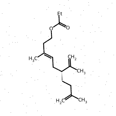 C=C(C)CC[C@H](CC=C(C)CCOC(=O)CC)C(=C)C